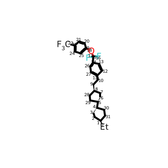 CC[C@H]1CC[C@H]([C@H]2CC[C@H](CCc3ccc(C(F)(F)Oc4ccc(C(F)(F)F)cc4)cc3)CC2)CC1